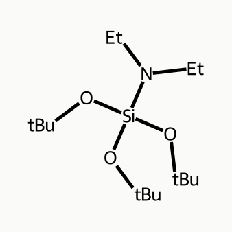 CCN(CC)[Si](OC(C)(C)C)(OC(C)(C)C)OC(C)(C)C